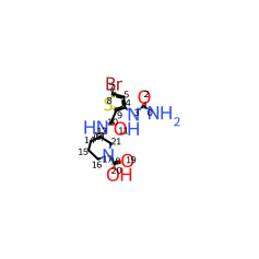 NC(=O)Nc1cc(Br)sc1C(=O)N[C@H]1CCCN(C(=O)O)C1